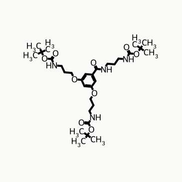 CC(C)(C)OC(=O)NCCCNC(=O)c1cc(OCCCNC(=O)OC(C)(C)C)cc(OCCCNC(=O)OC(C)(C)C)c1